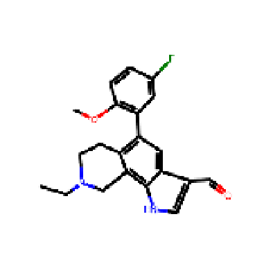 CCN1CCc2c(-c3cc(F)ccc3OC)cc3c(C=O)c[nH]c3c2C1